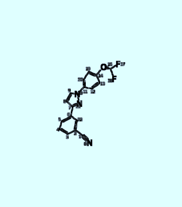 N#Cc1cccc(-c2ccn(-c3ccc(OC(F)F)cc3)n2)c1